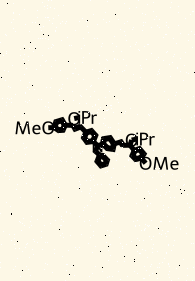 COc1ccc(C(C=Cc2ccc(N(Cc3ccccc3)c3ccc(C=CC(OC(C)C)c4ccc(OC)cc4)cc3)cc2)OC(C)C)cc1